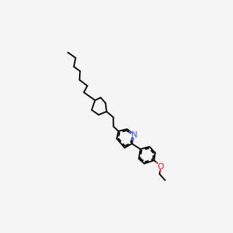 CCCCCCCC1CCC(CCc2ccc(-c3ccc(OCC)cc3)nc2)CC1